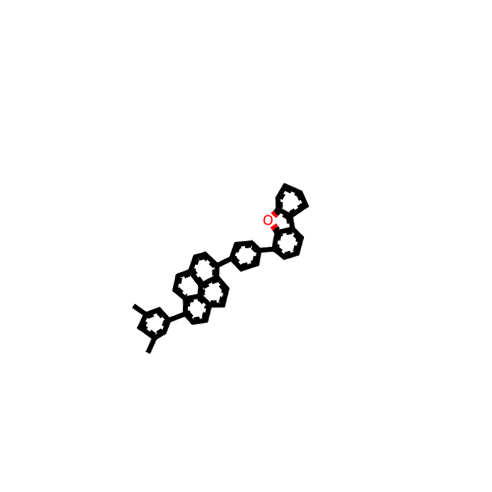 Cc1cc(C)cc(-c2ccc3ccc4c(-c5ccc(-c6cccc7c6oc6ccccc67)cc5)ccc5ccc2c3c54)c1